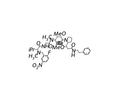 CCC(C)C(C(CC(=O)N1CCCC1C(CC(=O)NCCc1ccccc1)OC)OC)N(C)C(=O)CNC(=O)C(C(C)C)N(C)Cc1cc([N+](=O)[O-])ccc1F